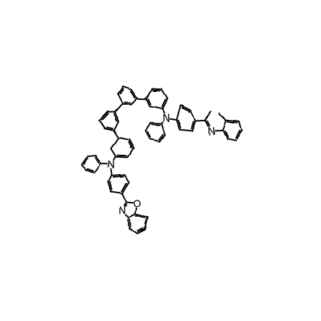 C/C(=N\c1ccccc1C)c1ccc(N(c2ccccc2)c2cccc(-c3cccc(-c4cccc(C5C=CC=C(N(c6ccccc6)c6ccc(-c7nc8ccccc8o7)cc6)C5)c4)c3)c2)cc1